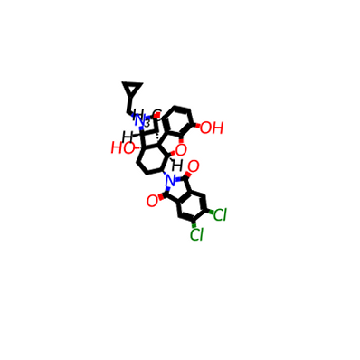 Cc1ccc(O)c2c1[C@]13C4CN(CC5CC5)[C@H]4[C@]1(O)CC[C@@H](N1C(=O)c4cc(Cl)c(Cl)cc4C1=O)[C@@H]3O2